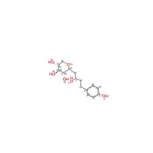 Oc1ccc(CCC(O)CC2OC[C@@H](O)[C@H](O)[C@H]2O)cc1